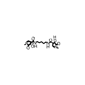 Cn1ccc(C(=O)NCCCCCNC(=O)c2ccn(C)c(=O)c2O)c(O)c1=O